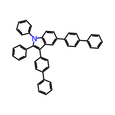 c1ccc(-c2ccc(-c3ccc4c(c3)c(-c3ccc(-c5ccccc5)cc3)c(-c3ccccc3)n4-c3ccccc3)cc2)cc1